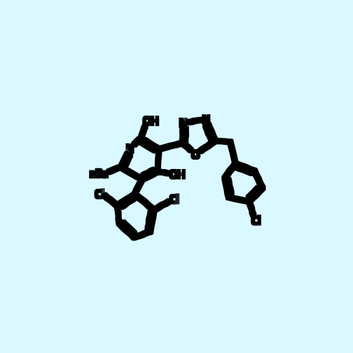 CCCCc1nc(O)c(-c2nnc(Cc3ccc(Cl)cc3)o2)c(O)c1-c1c(Cl)cccc1Cl